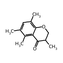 Cc1cc(C)c2c(c1C)C(=O)C(C)CO2